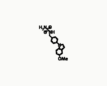 COc1ccc2c(ccn2-c2ccc(CNS(N)(=O)=O)cc2)c1